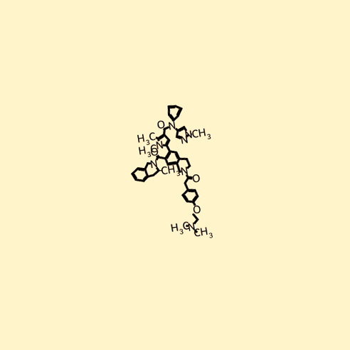 Cc1c(C(=O)N(c2ccccc2)c2cnn(C)c2)cc(-c2cc3c(cc2C(=O)N2Cc4ccccc4C[C@H]2C)CN(C(=O)Cc2ccc(OCCN(C)C)cc2)CC3)n1C